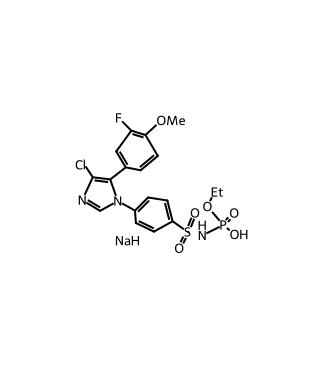 CCOP(=O)(O)NS(=O)(=O)c1ccc(-n2cnc(Cl)c2-c2ccc(OC)c(F)c2)cc1.[NaH]